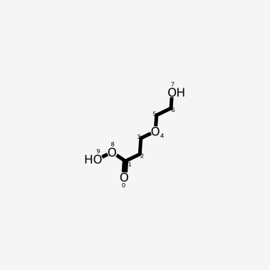 O=C(CCOCCO)OO